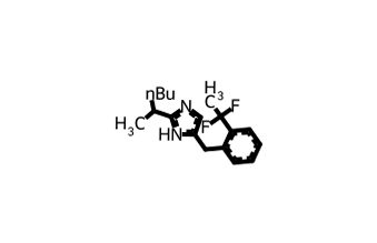 CCCCC(C)c1ncc(Cc2ccccc2C(C)(F)F)[nH]1